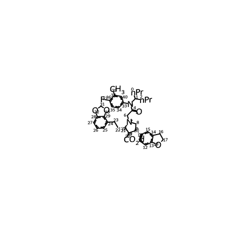 CCCC(CCC)N(C(=O)CN1C[C@H](c2ccc3c(c2)CCO3)[C@@H](C(=O)O)[C@@H]1CCc1cccc2c1OCO2)c1ccc(F)c(C)c1